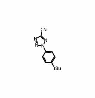 CC(C)(C)c1ccc(-n2nnc(C#N)n2)cc1